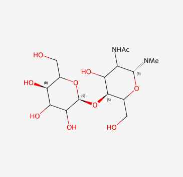 CN[C@@H]1OC(CO)[C@@H](O[C@@H]2OC(CO)[C@H](O)C(O)C2O)C(O)C1NC(C)=O